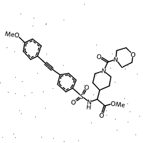 COC(=O)C(NS(=O)(=O)c1ccc(C#Cc2ccc(OC)cc2)cc1)C1CCN(C(=O)N2CCOCC2)CC1